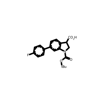 CC(C)(C)OC(=O)N1CC(C(=O)O)c2ccc(-c3ccc(F)cc3)cc21